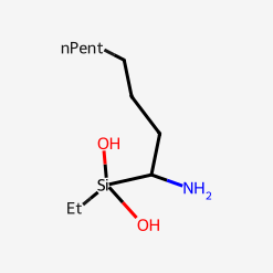 CCCCCCCCC(N)[Si](O)(O)CC